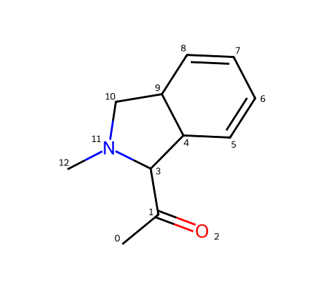 CC(=O)C1C2C=CC=CC2CN1C